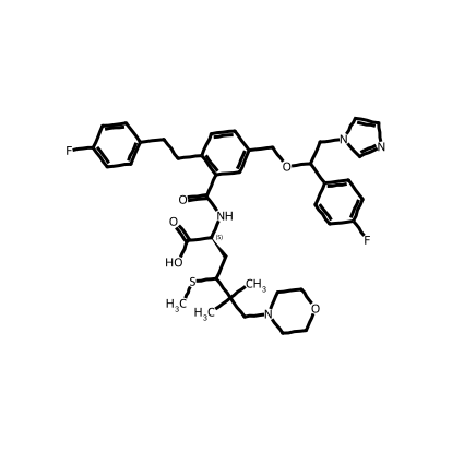 CSC(C[C@H](NC(=O)c1cc(COC(Cn2ccnc2)c2ccc(F)cc2)ccc1CCc1ccc(F)cc1)C(=O)O)C(C)(C)CN1CCOCC1